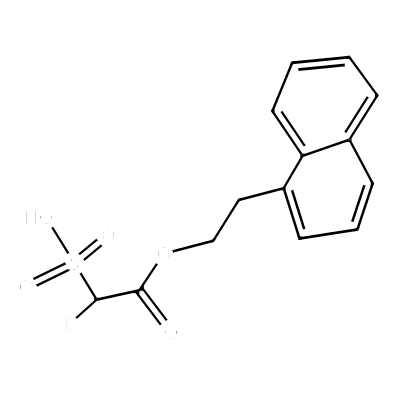 O=C(OCCc1cccc2ccccc12)C(F)S(=O)(=O)O